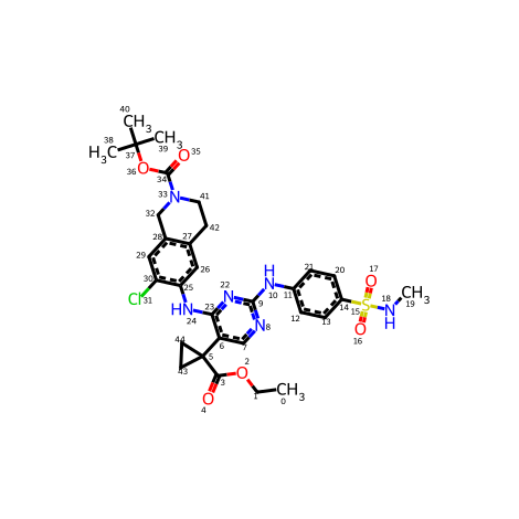 CCOC(=O)C1(c2cnc(Nc3ccc(S(=O)(=O)NC)cc3)nc2Nc2cc3c(cc2Cl)CN(C(=O)OC(C)(C)C)CC3)CC1